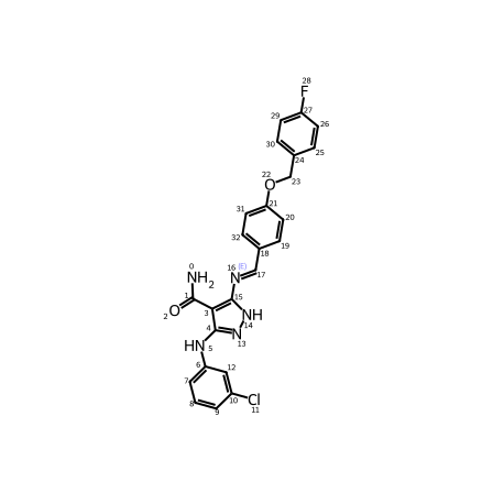 NC(=O)c1c(Nc2cccc(Cl)c2)n[nH]c1/N=C/c1ccc(OCc2ccc(F)cc2)cc1